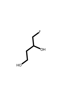 OCCC(O)CF